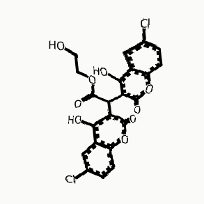 O=C(OCCO)C(c1c(O)c2cc(Cl)ccc2oc1=O)c1c(O)c2cc(Cl)ccc2oc1=O